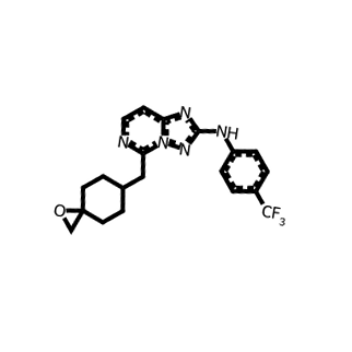 FC(F)(F)c1ccc(Nc2nc3ccnc(CC4CCC5(CC4)CO5)n3n2)cc1